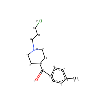 Cc1ccc(C(=O)C2CCN(CCCCl)CC2)cc1